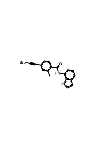 Cc1cc(C#CC(C)(C)C)ccc1C(=O)Nc1cccc2cc[nH]c12